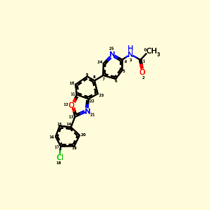 CC(=O)Nc1ccc(-c2ccc3oc(-c4ccc(Cl)cc4)nc3c2)cn1